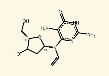 C=CN(c1nc(N)[nH]c(=O)c1N)[C@H]1CC(O)[C@@H](CO)O1